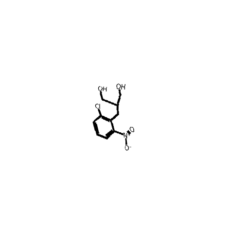 O=[N+]([O-])c1cccc(Cl)c1CC(CO)CO